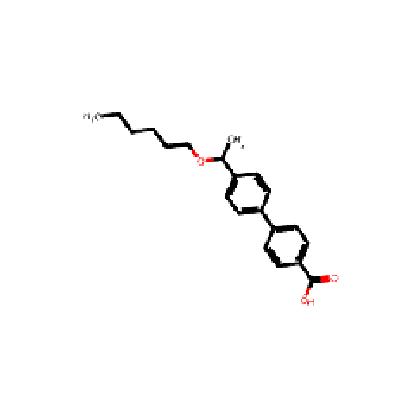 CCCCCCOC(C)c1ccc(-c2ccc(C(=O)O)cc2)cc1